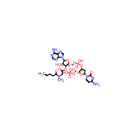 C=CCCC(=O)N(C)CC(=O)O[C@@H]1[C@@H](COP(=O)(O)O[C@H]2C[C@H](n3ccc(N)nc3=O)O[C@@H]2COP(=O)(O)O)OC(n2cnc3c(N)ncnc32)[C@@H]1O